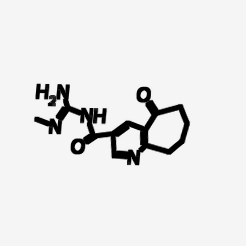 CN=C(N)NC(=O)c1cnc2c(c1)C(=O)CCCC2